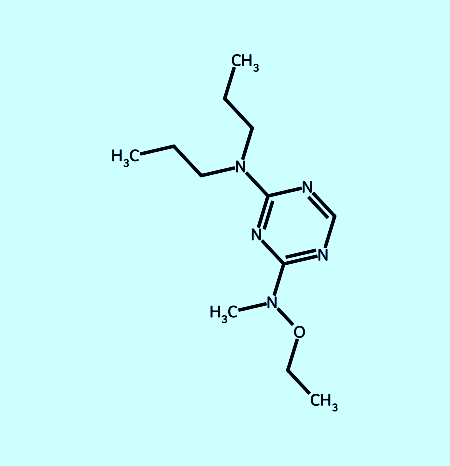 CCCN(CCC)c1ncnc(N(C)OCC)n1